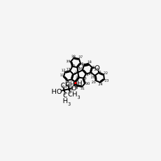 CC(C)(O)C(C)(C)OBc1cccc2c1C1(c3c#cc4oc5ccccc5c4c3-c3ccccc31)c1ccccc1-2